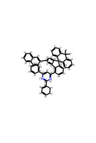 CC1(C)c2ccccc2C2(c3ccc(-c4ccc5ccccc5c4)cc3-c3c(-c4cc(-c5ccccc5)nc(C5=CC=CCC5)n4)cccc32)c2ccccc21